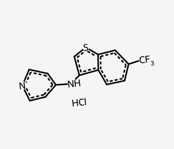 Cl.FC(F)(F)c1ccc2c(Nc3ccncc3)csc2c1